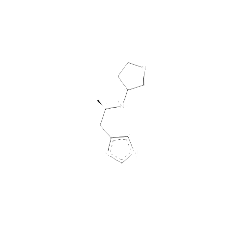 O=C(O)[C@H](Cc1c[nH]cn1)NC1CCNC1